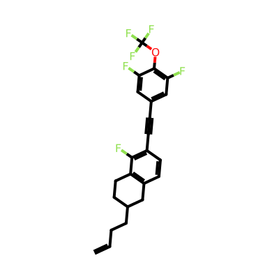 C=CCCC1CCc2c(ccc(C#Cc3cc(F)c(OC(F)(F)F)c(F)c3)c2F)C1